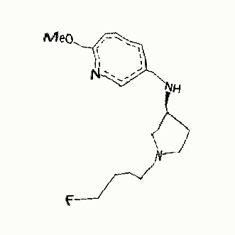 COc1ccc(N[C@H]2CCN(CCCF)C2)cn1